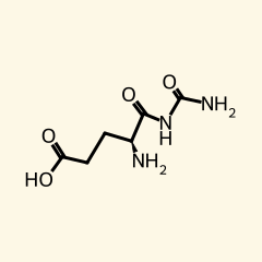 NC(=O)NC(=O)[C@@H](N)CCC(=O)O